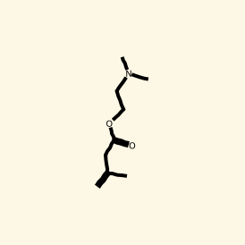 C=C(C)CC(=O)OCCN(C)C